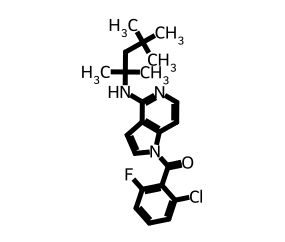 CC(C)(C)CC(C)(C)Nc1nccc2c1ccn2C(=O)c1c(F)cccc1Cl